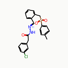 Cc1ccc(S(=O)(=O)Cc2ccccc2/C=N/NC(=O)Cc2cccc(Cl)c2)cc1